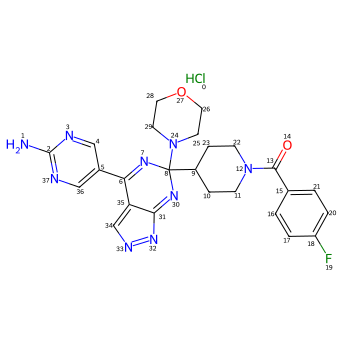 Cl.Nc1ncc(C2=NC(C3CCN(C(=O)c4ccc(F)cc4)CC3)(N3CCOCC3)N=C3N=NC=C32)cn1